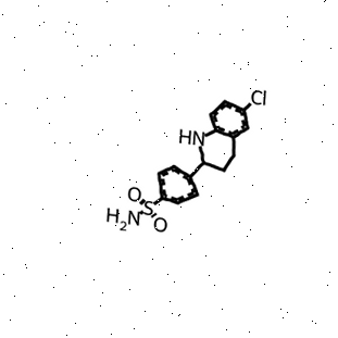 NS(=O)(=O)c1ccc(C2CCc3cc(Cl)ccc3N2)cc1